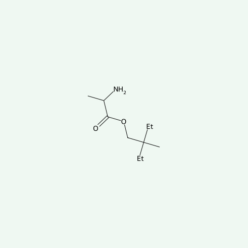 CCC(C)(CC)COC(=O)C(C)N